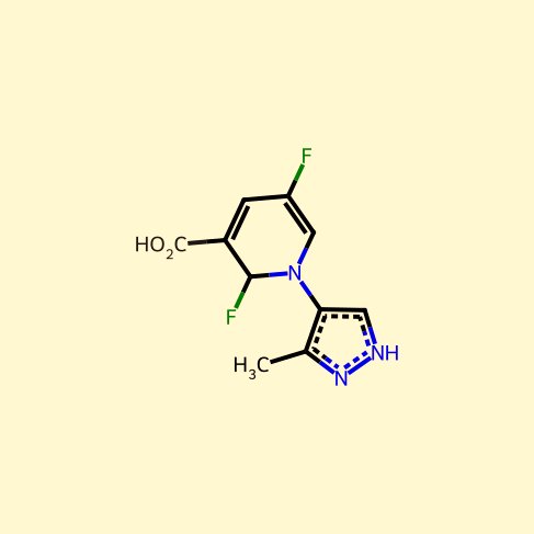 Cc1n[nH]cc1N1C=C(F)C=C(C(=O)O)C1F